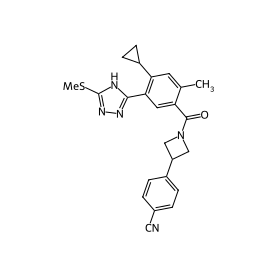 CSc1nnc(-c2cc(C(=O)N3CC(c4ccc(C#N)cc4)C3)c(C)cc2C2CC2)[nH]1